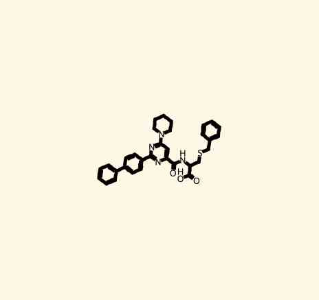 O=C(NC(CSCc1ccccc1)C(=O)O)c1cc(N2CCCCC2)nc(-c2ccc(-c3ccccc3)cc2)n1